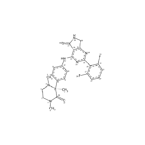 CN1CCN(C)[C@@](C)(c2ccc(Nc3nc(-c4c(F)cccc4F)nc4c3C(=O)NC4)cc2)C1=O